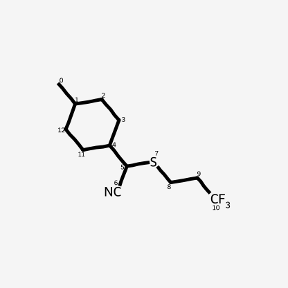 CC1CCC(C(C#N)SCCC(F)(F)F)CC1